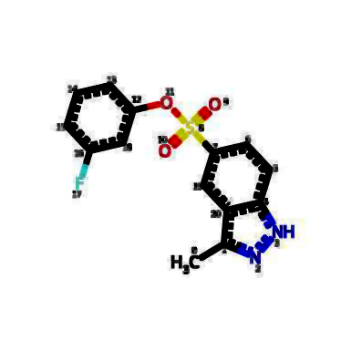 Cc1n[nH]c2ccc(S(=O)(=O)Oc3cccc(F)c3)cc12